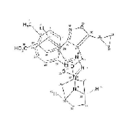 Cc1ccc(-c2nnc(N3[C@@H]4CC[C@H]3CC(OCc3c(-c5c(Cl)cccc5Cl)noc3C3CC3)C4)o2)cc1C(=O)O